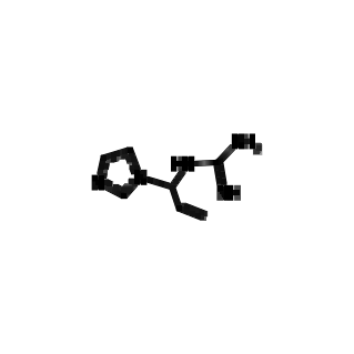 C=CC(NC(=N)N)n1ccnc1